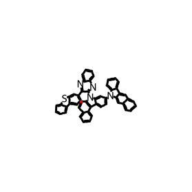 c1ccc2cc3c(cc2c1)c1ccccc1n3-c1ccc2c3c4ccccc4ccc3n(-c3nc4ccccc4nc3-c3ccc4c(c3)sc3ccccc34)c2c1